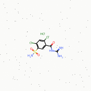 Cl.N=C(N)NC(=O)c1cc(S(N)(=O)=O)c(Cl)cc1Cl